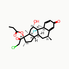 CCC(=O)O[C@]1(C(=O)CCl)[C@@H](C)C[C@H]2[C@@H]3C[C@H](C)C4=CC(=O)C=C[C@]4(C)[C@@]3(F)[C@@H](O)C[C@@]21C